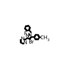 Cc1ccc(-c2c(Br)c(-c3ncccn3)nn2Cc2ccccc2F)cc1